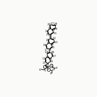 CCO[Si](OCC)(OCC)C1C=Cc2cc(-c3ccc4cc(-c5ccc6ccccc6c5)ccc4c3)ccc2C1